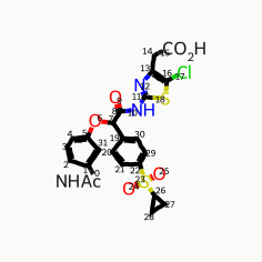 CC(=O)Nc1cccc(OC(C(=O)Nc2nc(CC(=O)O)c(Cl)s2)c2ccc(S(=O)(=O)C3CC3)cc2)c1